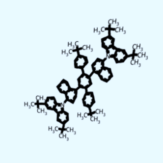 CC(C)(C)c1ccc(-c2cc(-c3ccc(-n4c5ccc(C(C)(C)C)cc5c5cc(C(C)(C)C)ccc54)c4ccccc34)c(-c3ccc(C(C)(C)C)cc3)cc2-c2ccc(-n3c4ccc(C(C)(C)C)cc4c4cc(C(C)(C)C)ccc43)c3ccccc23)cc1